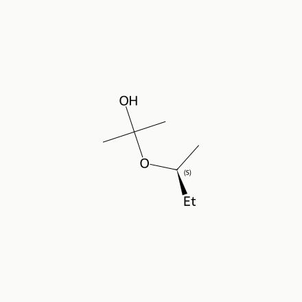 CC[C@H](C)OC(C)(C)O